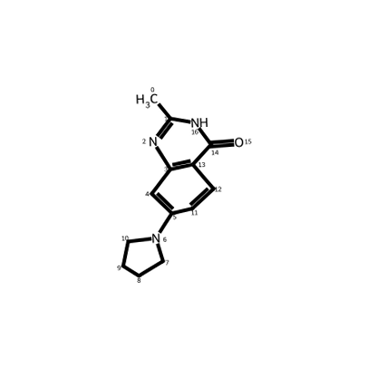 Cc1nc2cc(N3CCCC3)ccc2c(=O)[nH]1